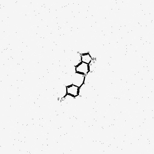 FC(F)(F)c1ccc(C[n+]2ccc3nc[nH]c3c2)cc1